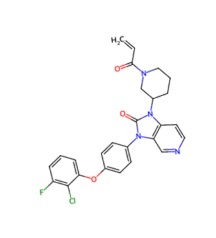 C=CC(=O)N1CCCC(n2c(=O)n(-c3ccc(Oc4cccc(F)c4Cl)cc3)c3cnccc32)C1